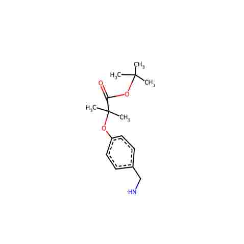 CC(C)(C)OC(=O)C(C)(C)Oc1ccc(C[NH])cc1